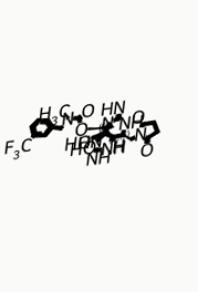 CN(Cc1cccc(C(F)(F)F)c1)C(=O)O[C@H]1CN2C(=N)N[C@@H](CN3C(=O)CCC3=O)[C@@H]3NC(=N)N[C@@]32C1(O)O